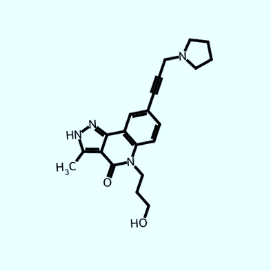 Cc1[nH]nc2c1c(=O)n(CCCO)c1ccc(C#CCN3CCCC3)cc21